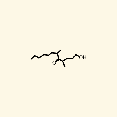 CCCCCCC(C)C(=O)C(C)CCCO